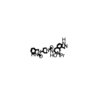 CC(C)N1Cc2c(ccc3[nH]ncc23)C[C@@H](NC(=O)N2CCC(N3Cc4ccccc4NC3=O)CC2)C1=O